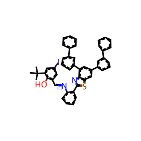 CC(C)(C)c1cc(I)cc(/C=N/c2ccccc2-c2nc3c(-c4cccc(-c5ccccc5)c4)cc(-c4cccc(-c5ccccc5)c4)cc3s2)c1O